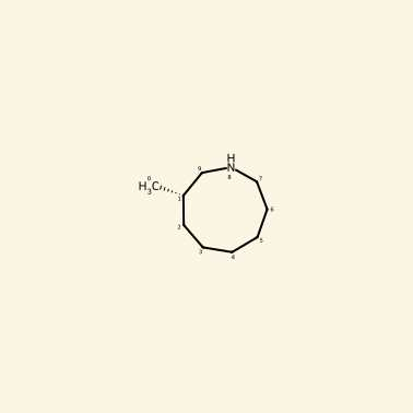 C[C@H]1CCCCCCNC1